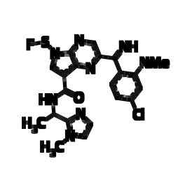 CNc1cc(Cl)ccc1C(=N)c1cnc2c(n1)c(C(=O)NC(C)c1nccn1C)cn2SF